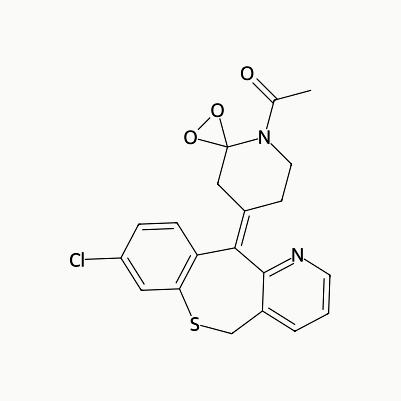 CC(=O)N1CCC(=C2c3ccc(Cl)cc3SCc3cccnc32)CC12OO2